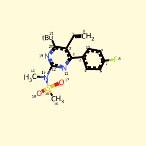 C=Cc1c(-c2ccc(F)cc2)nc(N(C)S(C)(=O)=O)nc1C(C)(C)C